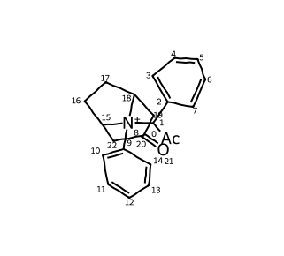 CC(=O)C(c1ccccc1)[N+]1(c2ccccc2)C2CCC1CC(=O)C2